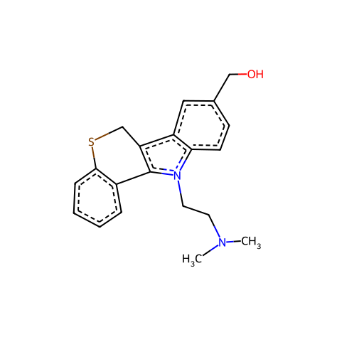 CN(C)CCn1c2c(c3cc(CO)ccc31)CSc1ccccc1-2